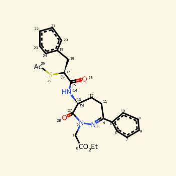 CCOC(=O)CN1N=C(c2ccccc2)CC[C@H](NC(=O)[C@H](Cc2ccccc2)SC(C)=O)C1=O